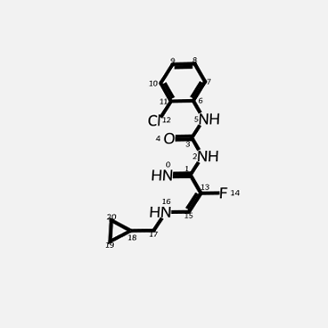 N=C(NC(=O)Nc1ccccc1Cl)/C(F)=C\NCC1CC1